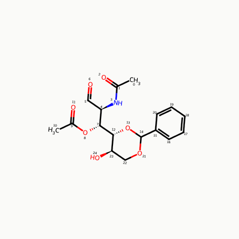 CC(=O)N[C@H](C=O)[C@@H](OC(C)=O)[C@@H]1OC(c2ccccc2)OC[C@H]1O